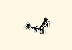 CC(C)(C)NCC(O)Cc1ccc(O)c(COC(=O)CCCO[N+](=O)[O-])c1